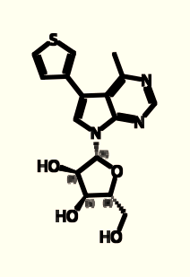 Cc1ncnc2c1c(-c1ccsc1)cn2[C@@H]1O[C@H](CO)[C@@H](O)[C@H]1O